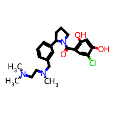 CN(C)CCN(C)Cc1cccc(C2CCCN2C(=O)c2cc(Cl)c(O)cc2O)c1